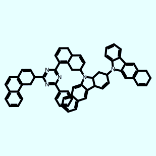 C1=Cc2cc3c(cc2CC1)c1ccccc1n3C1C=CC2c3cc4ccccc4cc3N(C3C=CC4CC=CC(c5nc(-c6ccccc6)nc(C6C=Cc7ccc8ccccc8c7C6)n5)=C4C3)C2C1